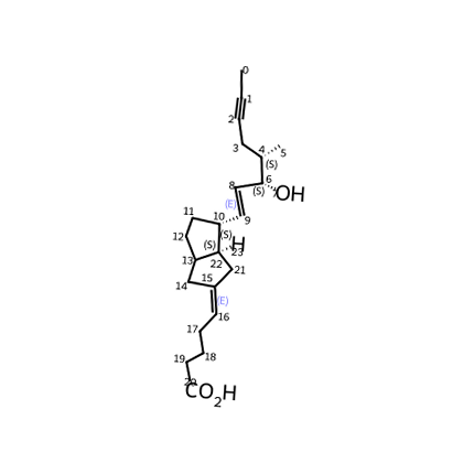 CC#CC[C@H](C)[C@H](O)/C=C/[C@H]1CCC2C/C(=C\CCCC(=O)O)C[C@@H]21